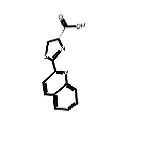 O=C(O)[C@H]1CSC(c2ccc3ccccc3n2)=N1